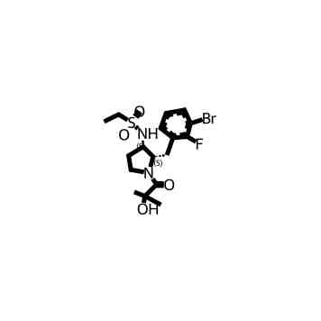 CCS(=O)(=O)N[C@H]1CCN(C(=O)C(C)(C)O)[C@H]1Cc1cccc(Br)c1F